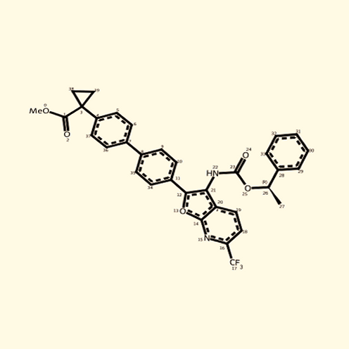 COC(=O)C1(c2ccc(-c3ccc(-c4oc5nc(C(F)(F)F)ccc5c4NC(=O)O[C@H](C)c4ccccc4)cc3)cc2)CC1